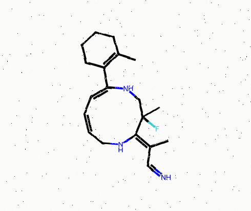 CC1=C(/C2=C/C=C\CN/C(=C(/C)C=N)C(C)(F)CN2)CCCC1